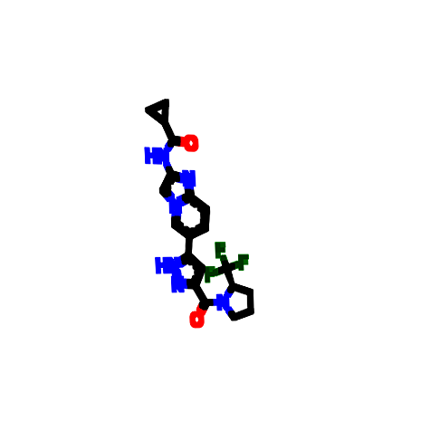 O=C(Nc1cn2cc(-c3cc(C(=O)N4CCC[C@@H]4C(F)(F)F)n[nH]3)ccc2n1)C1CC1